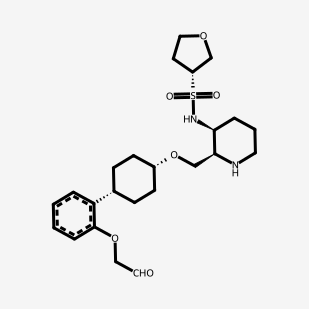 O=CCOc1ccccc1[C@H]1CC[C@@H](OC[C@@H]2NCCC[C@@H]2NS(=O)(=O)[C@@H]2CCOC2)CC1